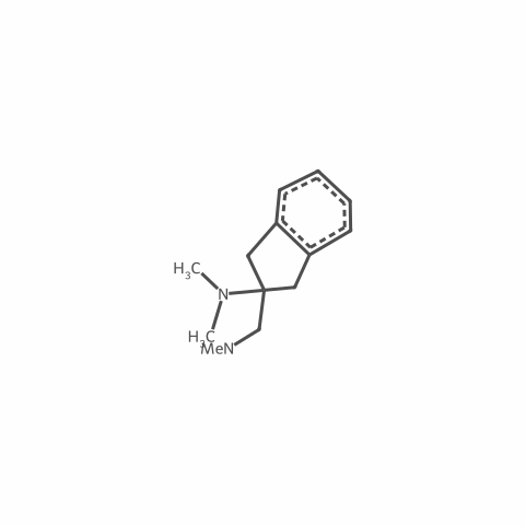 CNCC1(N(C)C)Cc2ccccc2C1